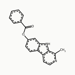 Cc1nccc2c1[nH]c1cc(OC(=O)c3ccccc3)ccc12